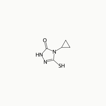 O=c1[nH]nc(S)n1C1CC1